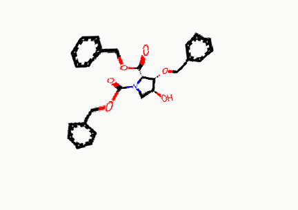 O=C(OCc1ccccc1)[C@@H]1[C@H](OCc2ccccc2)[C@@H](O)CN1C(=O)OCc1ccccc1